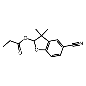 CCC(=O)OC1Oc2ccc(C#N)cc2C1(C)C